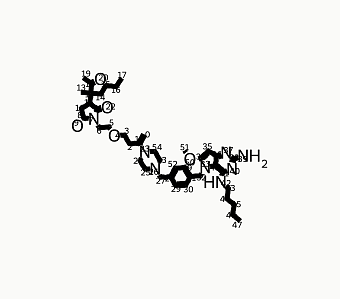 C=C(CCOCCN1C(=O)CC(C(C)(CCCC)C(C)=O)C1=O)N1CCN(Cc2ccc(Cn3ccc4nc(N)nc(NCCCCC)c43)c(OC)c2)CC1